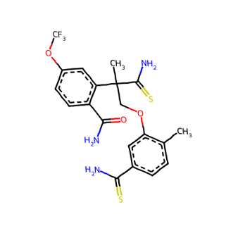 Cc1ccc(C(N)=S)cc1OCC(C)(C(N)=S)c1cc(OC(F)(F)F)ccc1C(N)=O